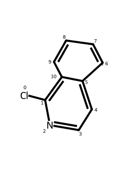 Clc1nccc2[c]cccc12